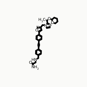 C[C@H](OC1CCCCO1)c1nccn1Cc1cc(-c2ccc(C#Cc3ccc(CNCC(N)=O)cc3)cc2)on1